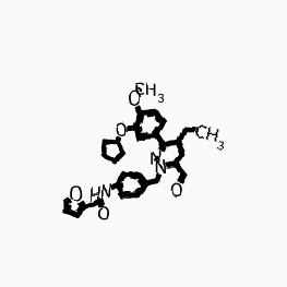 CCC1CC(C=O)N(Cc2ccc(NC(=O)c3ccco3)cc2)N=C1c1ccc(OC)c(OC2CCCC2)c1